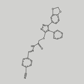 N#Cc1ccc(C=NNC(=O)CSc2nnc(-c3ccc4c(c3)OCO4)n2-c2ccccc2)cc1